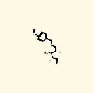 C=C[C@H](C)[C@@H](O)[C@@H](C)COCc1ccc(OC)cc1